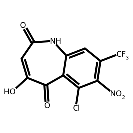 O=c1cc(O)c(=O)c2c(Cl)c([N+](=O)[O-])c(C(F)(F)F)cc2[nH]1